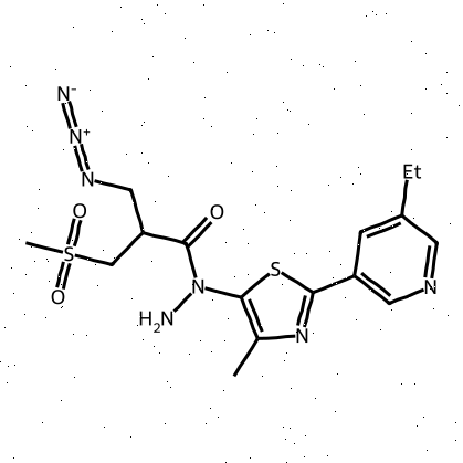 CCc1cncc(-c2nc(C)c(N(N)C(=O)C(CN=[N+]=[N-])CS(C)(=O)=O)s2)c1